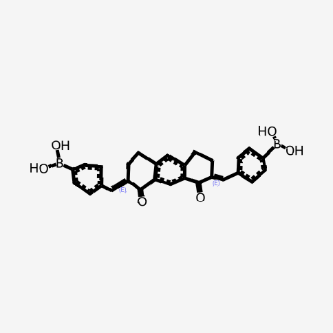 O=C1/C(=C/c2ccc(B(O)O)cc2)CCc2cc3c(cc21)C(=O)/C(=C/c1ccc(B(O)O)cc1)CC3